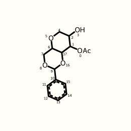 CC(=O)OC1C(O)COC2COC(c3ccccc3)OC21